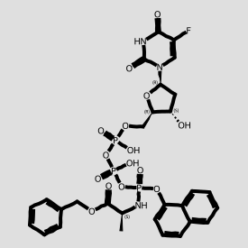 C[C@H](NP(=O)(Oc1cccc2ccccc12)OP(=O)(O)OP(=O)(O)OC[C@H]1O[C@@H](n2cc(F)c(=O)[nH]c2=O)C[C@@H]1O)C(=O)OCc1ccccc1